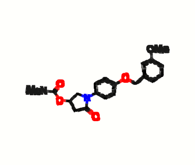 CNC(=O)OC1CC(=O)N(c2ccc(OCc3cccc(OC)c3)cc2)C1